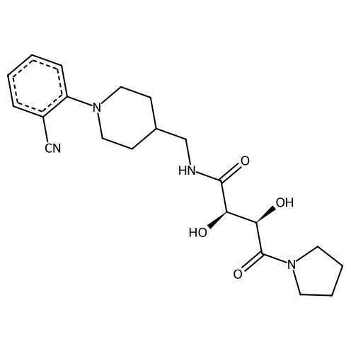 N#Cc1ccccc1N1CCC(CNC(=O)[C@H](O)[C@@H](O)C(=O)N2CCCC2)CC1